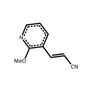 COc1ncccc1C=CC#N